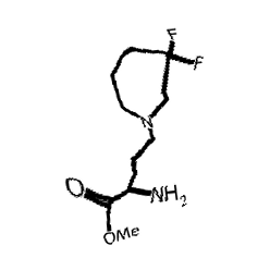 COC(=O)C(N)CCN1CCCC(F)(F)C1